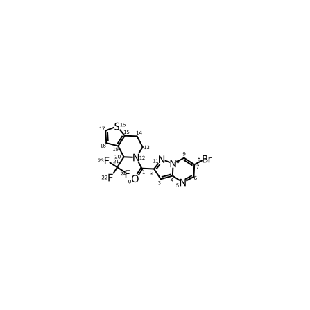 O=C(c1cc2ncc(Br)cn2n1)N1CCc2sccc2C1C(F)(F)F